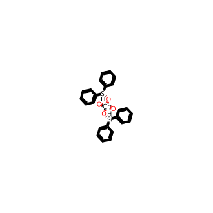 [O]=[Cr](=[O])([O][SiH](c1ccccc1)c1ccccc1)[O][SiH](c1ccccc1)c1ccccc1